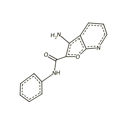 Nc1c(C(=O)Nc2ccccc2)oc2ncccc12